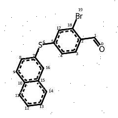 O=Cc1ccc(Sc2ccc3ccccc3c2)cc1Br